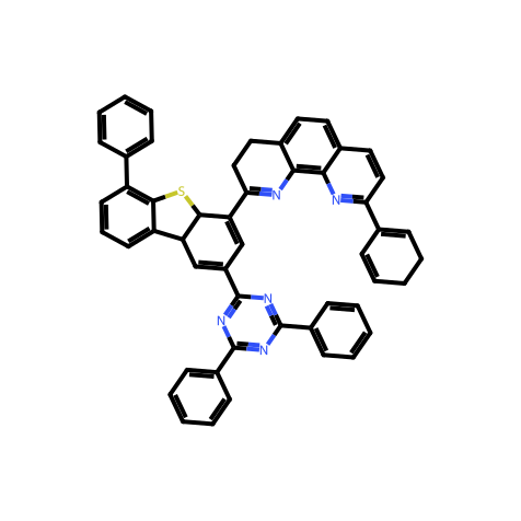 C1=CC(c2ccc3ccc4c(c3n2)N=C(C2=CC(c3nc(-c5ccccc5)nc(-c5ccccc5)n3)=CC3c5cccc(-c6ccccc6)c5SC23)CC4)=CCC1